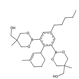 CCCCCc1cc(B2OCC(C)(CO)CO2)c(C2C=C(C)CCC2)c(B2OCC(C)(CO)CO2)c1